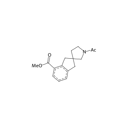 COC(=O)c1cccc2c1CC1(CCN(C(C)=O)C1)C2